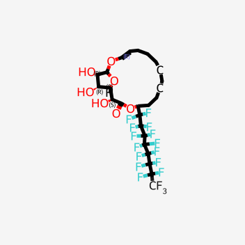 O=C1OC(C(F)(F)C(F)(F)C(F)(F)C(F)(F)C(F)(F)C(F)(F)C(F)(F)C(F)(F)F)CCCCCCCC/C=C/OC2O[C@@H]([C@H](O)[C@H]2O)[C@@H]1O